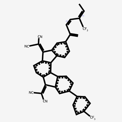 C=C(/C=C\C(=C/C)C(F)(F)F)c1ccc2c(c1)C(=C(C#N)C#N)c1ccc3c(c1-2)-c1ccc(-c2ccc(C(F)(F)F)cc2)cc1C3=C(C#N)C#N